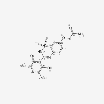 CCCCc1nn(CCCC)c(=O)c(C2=Nc3ccc(OCC(N)=O)cc3S(=O)(=O)N2)c1O